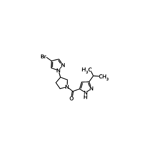 CC(C)c1cc(C(=O)N2CCC(n3cc(Br)cn3)C2)[nH]n1